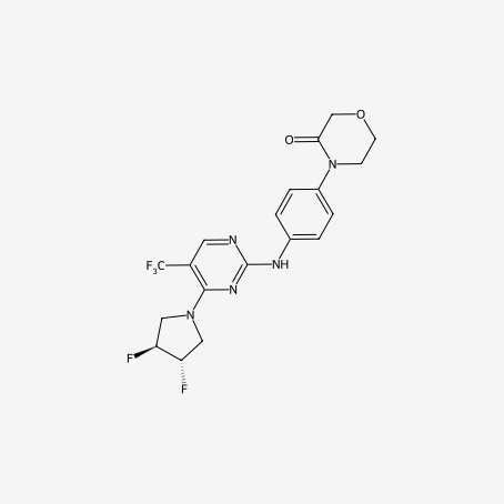 O=C1COCCN1c1ccc(Nc2ncc(C(F)(F)F)c(N3C[C@H](F)[C@@H](F)C3)n2)cc1